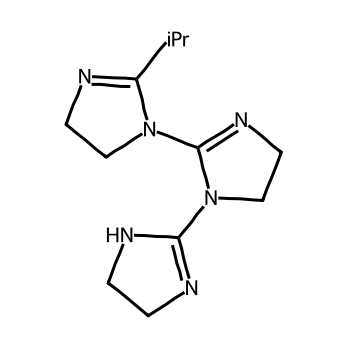 CC(C)C1=NCCN1C1=NCCN1C1=NCCN1